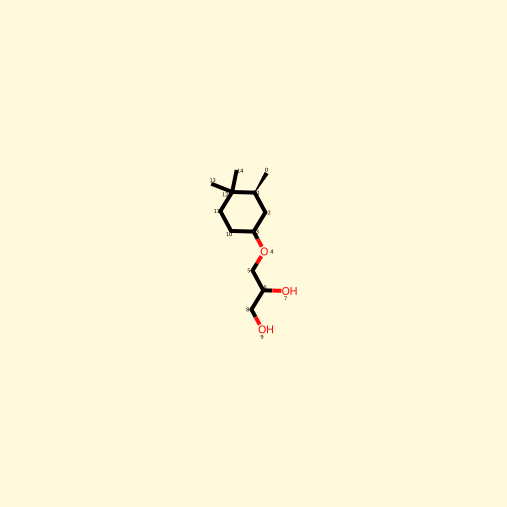 C[C@H]1CC(OCC(O)CO)CCC1(C)C